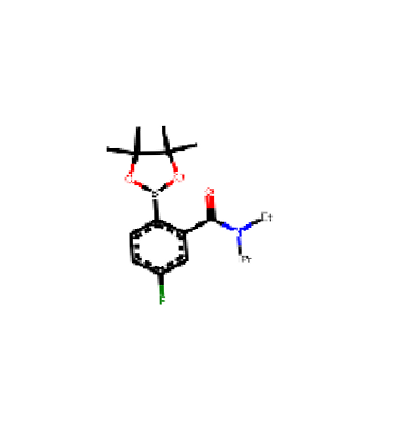 CCN(C(=O)c1cc(F)ccc1B1OC(C)(C)C(C)(C)O1)C(C)C